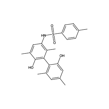 Cc1ccc(S(=O)(=O)Nc2cc(C)c(O)c(-c3c(C)cc(C)cc3O)c2C)cc1